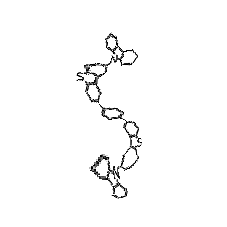 C1=Cc2c(c3ccccc3n2-c2ccc3sc4ccc(-c5ccc(-c6ccc7sc8c(c7c6)C=C(n6c7ccccc7c7ccccc76)CC8)cc5)cc4c3c2)CC1